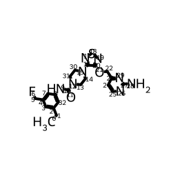 CCc1cc(CF)cc(NC(=O)N2CCN(c3nsnc3OCc3ccnc(N)n3)CC2)c1